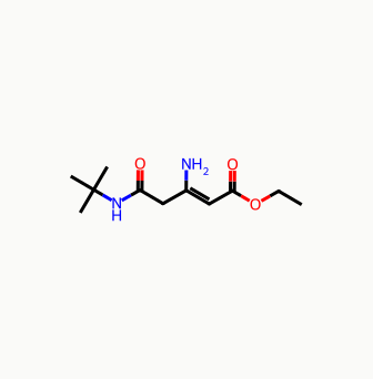 CCOC(=O)/C=C(\N)CC(=O)NC(C)(C)C